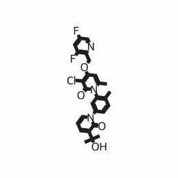 Cc1ccc(-n2cccc(C(C)(C)O)c2=O)cc1-n1c(C)cc(OCc2ncc(F)cc2F)c(Cl)c1=O